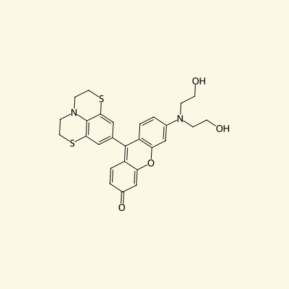 O=c1ccc2c(-c3cc4c5c(c3)SCCN5CCS4)c3ccc(N(CCO)CCO)cc3oc-2c1